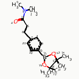 CN(C)C(=O)CCc1ccc(B2OC(C)(C)C(C)(C)O2)cc1